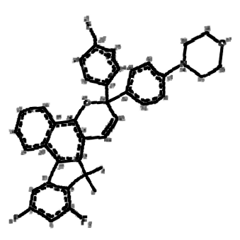 CC1(C)c2c(F)cc(F)cc2-c2c1c1c(c3ccccc23)OC(c2ccc(F)cc2)(c2ccc(N3CCOCC3)cc2)C=C1